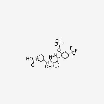 COCOc1cc(C(F)(F)F)ccc1-c1nnc([C@H](O)[C@@H]2CCCN(C(=O)O)C2)c2c1CCC2